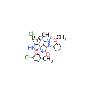 COc1ccccc1-n1nc(C(C)C)c2c1C(=O)N(c1cc(Cl)ccc1C)C21C(=O)NC2=C1C=CC(Cl)C2